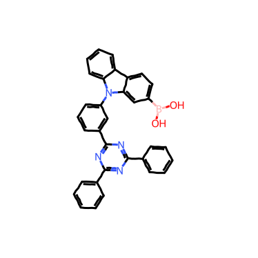 OB(O)c1ccc2c3ccccc3n(-c3cccc(-c4nc(-c5ccccc5)nc(-c5ccccc5)n4)c3)c2c1